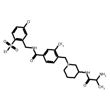 CCS(=O)(=O)c1ccc(Cl)cc1CNC(=O)c1ccc(CN2CCCC(NC(=O)C(C)N)C2)c(C(F)(F)F)c1